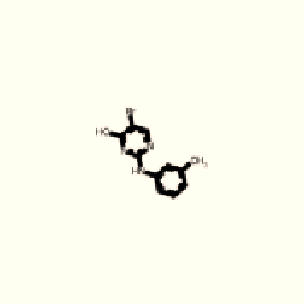 Cc1cccc(Nc2ncc(Br)c(O)n2)c1